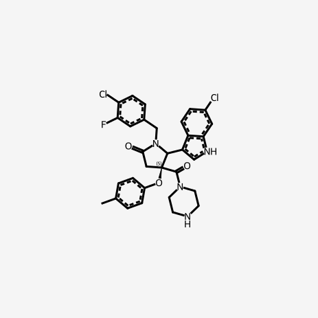 Cc1ccc(O[C@@]2(C(=O)N3CCNCC3)CC(=O)N(Cc3ccc(Cl)c(F)c3)C2c2c[nH]c3cc(Cl)ccc23)cc1